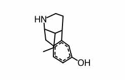 CCC1C2Cc3ccc(O)cc3C1CCN2